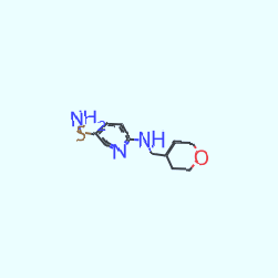 NSc1ccc(NCC2CCOCC2)nc1